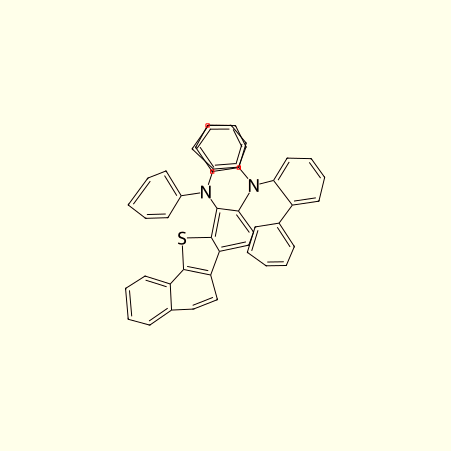 c1ccc(-c2ccccc2N(c2ccccc2)c2ccc3c(sc4c5ccccc5ccc34)c2N(c2ccccc2)c2ccccc2)cc1